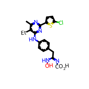 CCc1c(C)nc(-c2ccc(Cl)s2)nc1Nc1ccc(CC(=NC(=O)O)NO)cc1